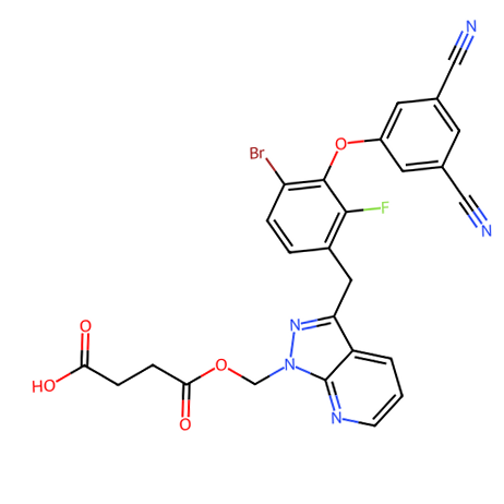 N#Cc1cc(C#N)cc(Oc2c(Br)ccc(Cc3nn(COC(=O)CCC(=O)O)c4ncccc34)c2F)c1